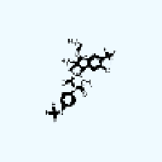 CCOC(=O)C1(C)CN(C(=O)N(C(C)=O)c2ccc(OC(F)(F)F)cc2)N=C1c1ccc(C(F)(F)F)c(Cl)c1